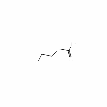 CCCC[CH]SC(=O)CC